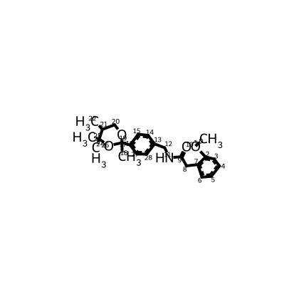 COc1ccccc1CC(=O)NCc1ccc(C2(C)OCC(C)C(C)(C)O2)cc1